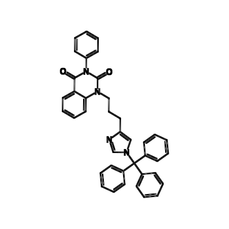 O=c1c2ccccc2n(CCCc2cn(C(c3ccccc3)(c3ccccc3)c3ccccc3)cn2)c(=O)n1-c1ccccc1